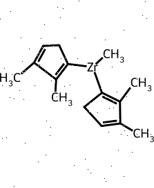 CC1=CC[C]([Zr]([CH3])[C]2=C(C)C(C)=CC2)=C1C